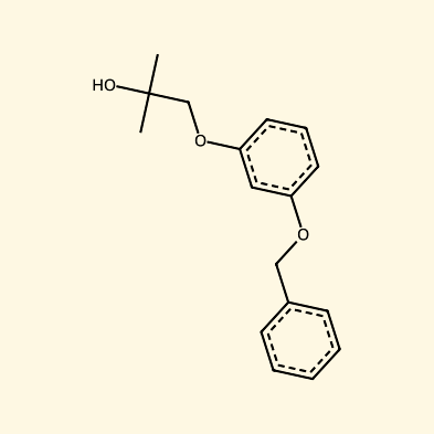 CC(C)(O)COc1cccc(OCc2ccccc2)c1